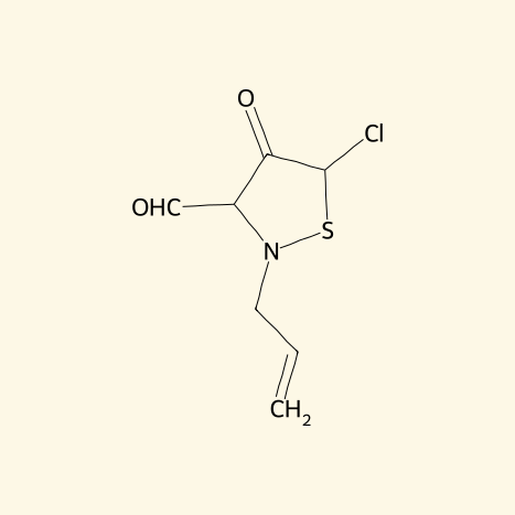 C=CCN1SC(Cl)C(=O)C1C=O